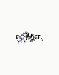 C/C=C\C(CC)=C(/C)c1cccnc1Oc1ccc(C(F)(F)F)nc1